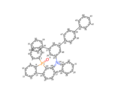 O=P1(c2ccccc2)c2ccccc2-c2ccc3c4ccccc4n(-c4cc(-c5ccccc5)cc(-c5ccc(-c6ccccc6)cc5)c4)c3c21